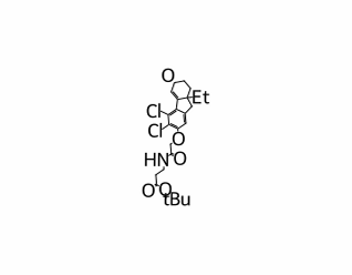 CCC12CCC(=O)C=C1c1c(cc(OCC(=O)NCCC(=O)OC(C)(C)C)c(Cl)c1Cl)C2